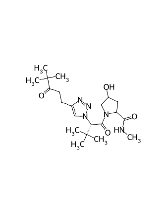 CNC(=O)C1CC(O)CN1C(=O)[C@@H](n1cc(CCC(=O)C(C)(C)C)nn1)C(C)(C)C